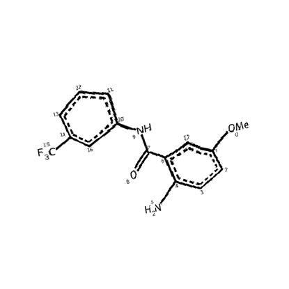 COc1ccc(N)c(C(=O)Nc2cccc(C(F)(F)F)c2)c1